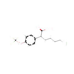 O=C(O)C(CCCCCl)c1ccc(OC(F)(F)F)c(F)c1